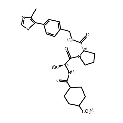 Cc1ncsc1-c1ccc(CNC(=O)[C@@H]2CCCN2C(=O)[C@@H](NC(=O)C2CCC(C(=O)O)CC2)C(C)(C)C)cc1